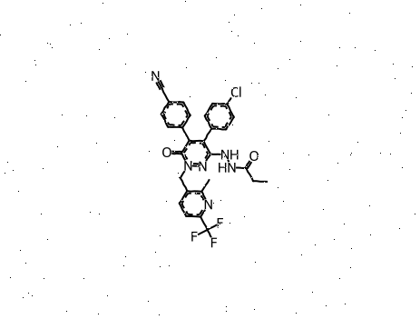 CCC(=O)NNc1nn(Cc2ccc(C(F)(F)F)nc2C)c(=O)c(-c2ccc(C#N)cc2)c1-c1ccc(Cl)cc1